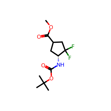 COC(=O)C1C[C@@H](NC(=O)OC(C)(C)C)C(F)(F)C1